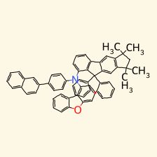 CC1(C)CC(C)(C)c2cc3c(cc21)-c1cccc(N(c2ccc(-c4ccc5ccccc5c4)cc2)c2cccc4oc5ccccc5c24)c1C3(c1ccccc1)c1ccccc1